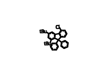 CC(C)(C)c1cc2c(c(C(C)(C)C)c1)C(c1ccccc1)(c1ccccc1)c1cccc(Cl)c1-2